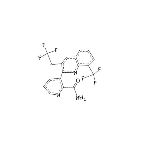 NC(=O)c1ncccc1-c1nc2c(C(F)(F)F)cccc2cc1[CH]C(F)(F)F